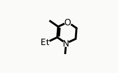 CCC1=C(C)OCCN1C